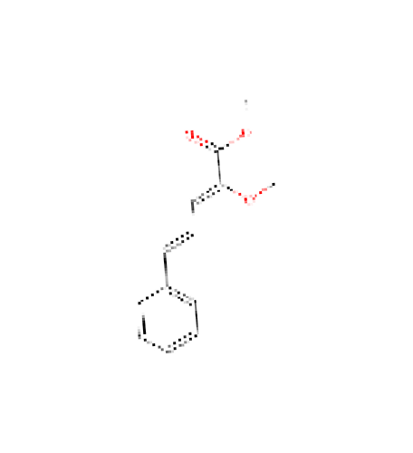 COC(=O)C(=CC=Cc1ccccc1)OC